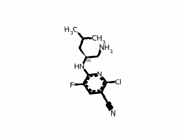 CC(C)C[C@@H](CN)Nc1nc(Cl)c(C#N)cc1F